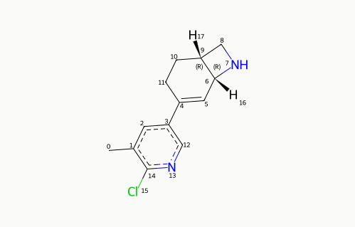 Cc1cc(C2=C[C@H]3NC[C@H]3CC2)cnc1Cl